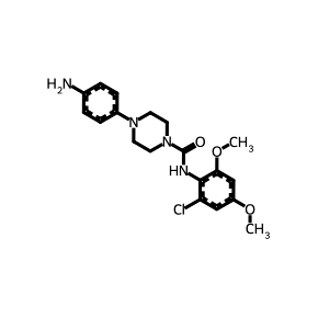 COc1cc(Cl)c(NC(=O)N2CCN(c3ccc(N)cc3)CC2)c(OC)c1